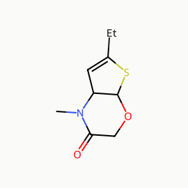 CCC1=CC2C(OCC(=O)N2C)S1